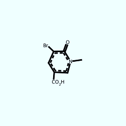 Cn1cc(C(=O)O)cc(Br)c1=O